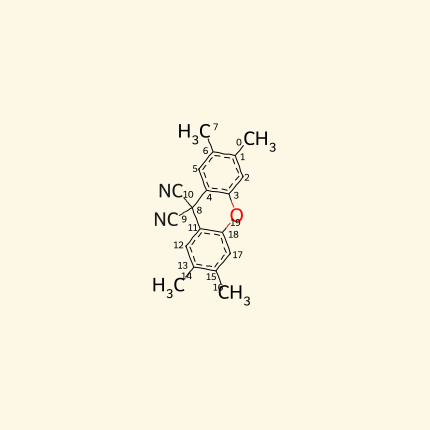 Cc1cc2c(cc1C)C(C#N)(C#N)c1cc(C)c(C)cc1O2